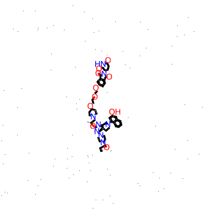 C=CC(=O)N1CCN(c2nc(O[C@H](C)CN3CCC(OCCOCCOc4ccc5c(c4)C(=O)N(C4CCC(=O)NC4=O)C5=O)CC3)nc3c2CCN(c2cc(O)cc4ccccc24)C3)CC1